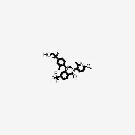 COc1ccc(N2CN(c3ccc(C(F)(F)CO)cc3C)c3cc(C(F)(F)F)ccc3C2=O)c(C)n1